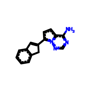 Nc1ncnn2c(C3=Cc4ccccc4C3)ccc12